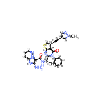 C[C@@H](NC(=O)c1c(N)nc2cccnn12)c1nc2scc(C#Cc3cnn(C)c3)c2c(=O)n1-c1ccccc1